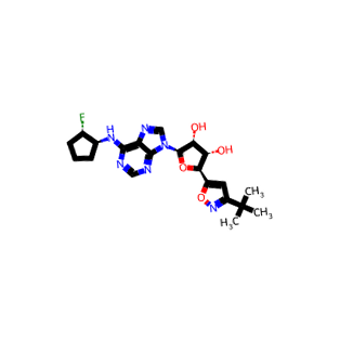 CC(C)(C)c1cc([C@H]2O[C@@H](n3cnc4c(N[C@H]5CCC[C@@H]5F)ncnc43)[C@H](O)[C@@H]2O)on1